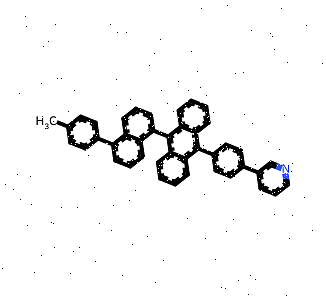 Cc1ccc(-c2cccc3c(-c4c5ccccc5c(-c5ccc(-c6cccnc6)cc5)c5ccccc45)cccc23)cc1